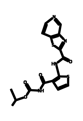 CC(C)OC(=O)NC(=O)c1ccsc1NC(=O)c1nc2cnccc2s1